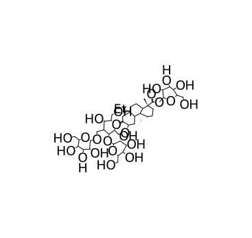 C=C1C[C@@]2(CC)CCC3[C@@](C)(CCC[C@@]3(C)C(=O)OC3OC(CO)C(O)C(O)C3O)C2CC1OCC1OC(CO)C(O)C(COC2OC(CO)C(O)C(O)C2O)C1OC1OC(CO)C(O)C(O)C1O